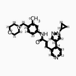 Cc1cc(NC(=O)/C=C/c2cnccc2-c2cnn(C3CC3)c2)ccc1CN1CCOCC1